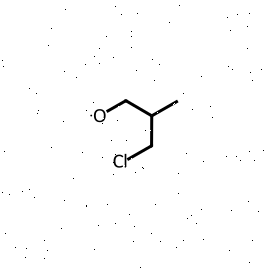 CC(C[O])CCl